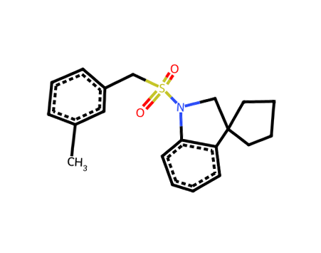 Cc1cccc(CS(=O)(=O)N2CC3(CCCC3)c3ccccc32)c1